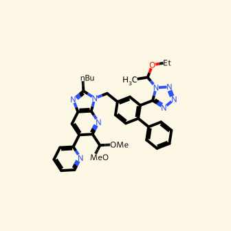 CCCCc1nc2cc(-c3ccccn3)c(C(OC)OC)nc2n1Cc1ccc(-c2ccccc2)c(-c2nnnn2C(C)OCC)c1